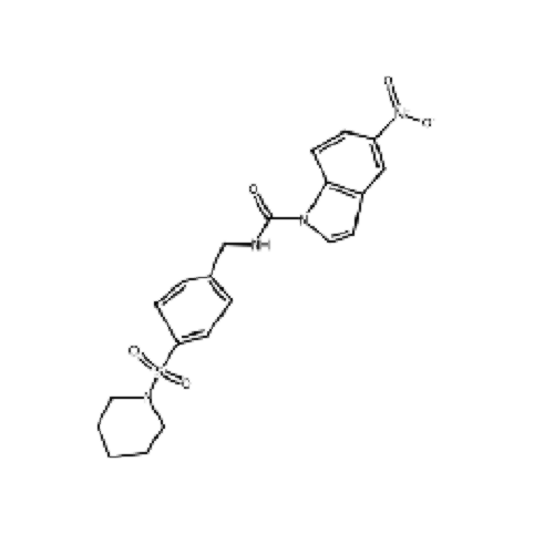 O=C(NCc1ccc(S(=O)(=O)N2CCCCC2)cc1)n1ccc2cc([N+](=O)[O-])ccc21